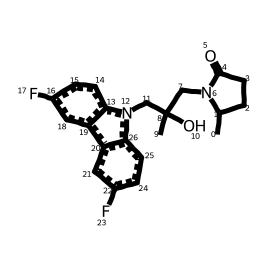 CC1CCC(=O)N1CC(C)(O)Cn1c2ccc(F)cc2c2cc(F)ccc21